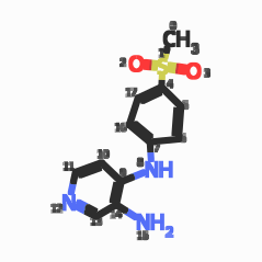 CS(=O)(=O)c1ccc(Nc2ccncc2N)cc1